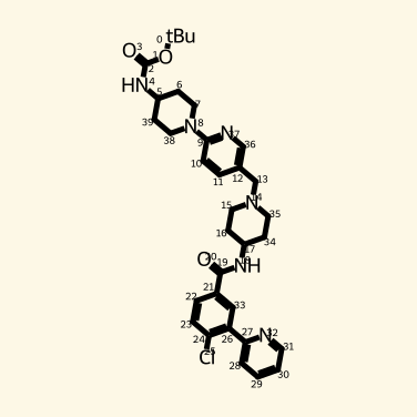 CC(C)(C)OC(=O)NC1CCN(c2ccc(CN3CCC(NC(=O)c4ccc(Cl)c(-c5ccccn5)c4)CC3)cn2)CC1